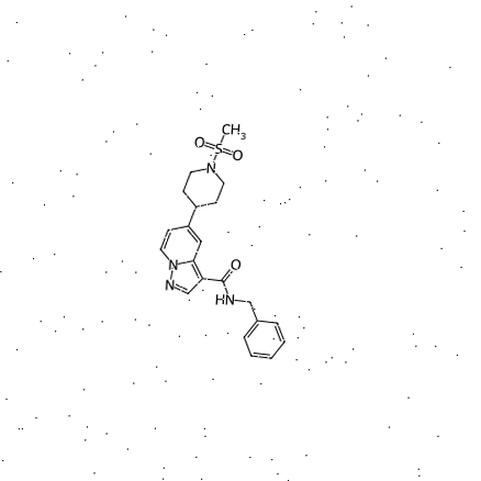 CS(=O)(=O)N1CCC(c2ccn3ncc(C(=O)NCc4ccccc4)c3c2)CC1